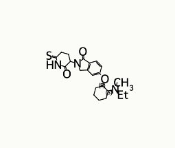 CCN(C)[C@H]1CCCC[C@H]1Oc1ccc2c(c1)CN(C1CCC(=S)NC1=O)C2=O